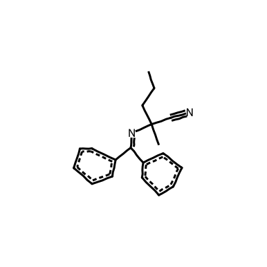 CCCC(C)(C#N)N=C(c1ccccc1)c1ccccc1